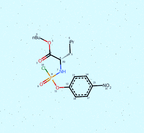 CCCCOC(=O)[C@H](CC(C)C)NP(=O)(Cl)Oc1ccc([N+](=O)[O-])cc1